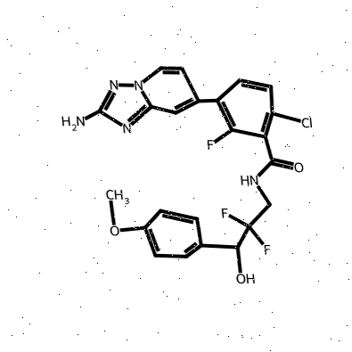 COc1ccc(C(O)C(F)(F)CNC(=O)c2c(Cl)ccc(-c3ccn4nc(N)nc4c3)c2F)cc1